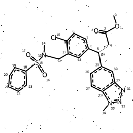 COC(=O)C[C@@H](c1ccc(Cl)c(CN(C)S(=O)(=O)c2ccccc2)c1)c1ccc2c(c1)nnn2C